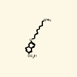 COCCCCCCCCOc1ccc2cc(C(=O)O)ccc2c1